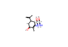 C=C(C)C1CC=C(C)C(=O)C1.N=C=O.N=C=O